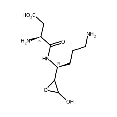 NCCC[C@H](NC(=O)[C@@H](N)CC(=O)O)C1OC1O